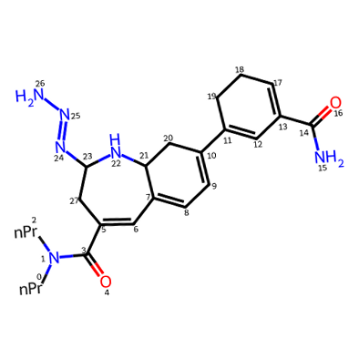 CCCN(CCC)C(=O)C1=CC2=CC=C(C3=CC(C(N)=O)=CCC3)CC2NC(N=NN)C1